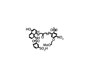 COCCOc1cc(N=NCC(=O)CNc2ccc(O)c3cccc(NS(=O)(=O)c4cccc(S(=O)(=O)O)c4)c23)c(S(C)(=O)=O)cc1[N+](=O)[O-]